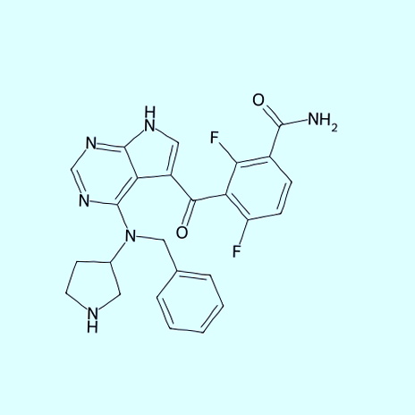 NC(=O)c1ccc(F)c(C(=O)c2c[nH]c3ncnc(N(Cc4ccccc4)C4CCNC4)c23)c1F